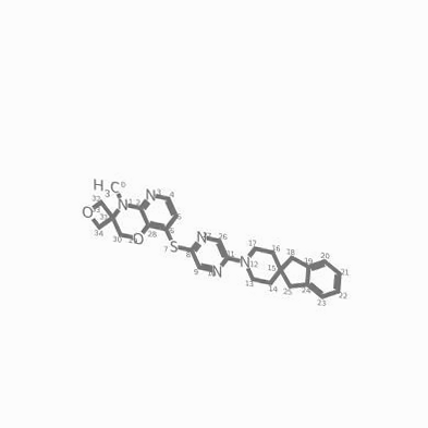 CN1c2nccc(Sc3cnc(N4CCC5(CC4)Cc4ccccc4C5)cn3)c2OCC12COC2